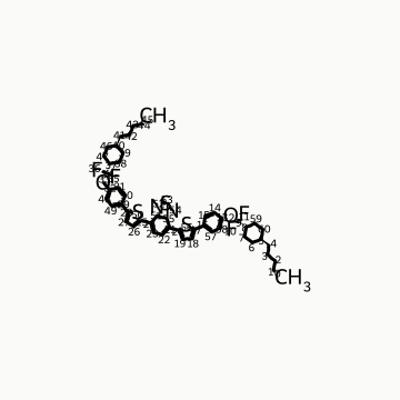 CCCCC[C@H]1CC[C@H](C(F)(F)Oc2ccc(-c3ccc(-c4ccc(-c5ccc(-c6ccc(OC(F)(F)[C@H]7CC[C@H](CCCCC)CC7)cc6)s5)c5nsnc45)s3)cc2)CC1